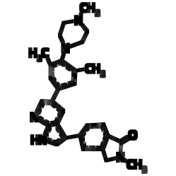 Cc1cc(-c2cnc3[nH]cc(-c4ccc5c(c4)CN(C)C5=O)c3c2)cc(C)c1N1CCN(C)CC1